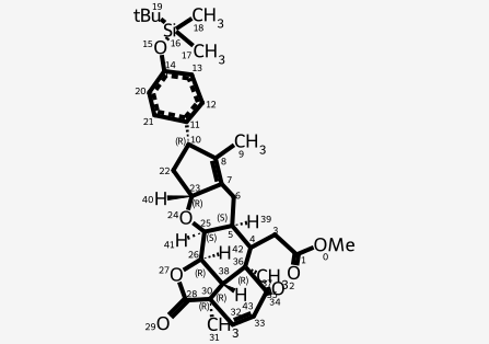 COC(=O)CC1[C@@H]2CC3=C(C)[C@@H](c4ccc(O[Si](C)(C)C(C)(C)C)cc4)C[C@H]3O[C@@H]2[C@@H]2OC(=O)[C@]3(C)C=CC(=O)[C@@]1(C)[C@@H]23